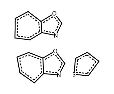 c1ccc2ocnc2c1.c1ccc2ocnc2c1.c1ccsc1